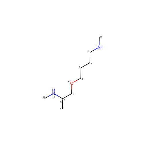 CNCCCCOC[C@@H](C)NC